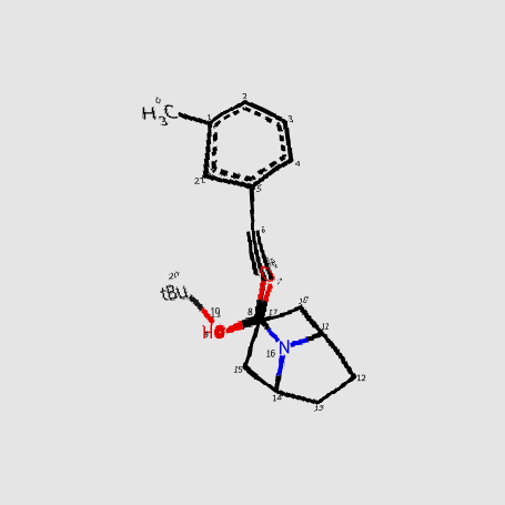 Cc1cccc(C#CC2(O)CC3CCC(C2)N3C(=O)OC(C)(C)C)c1